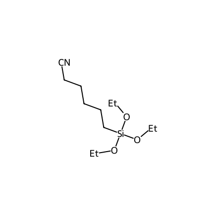 CCO[Si](CCCCCC#N)(OCC)OCC